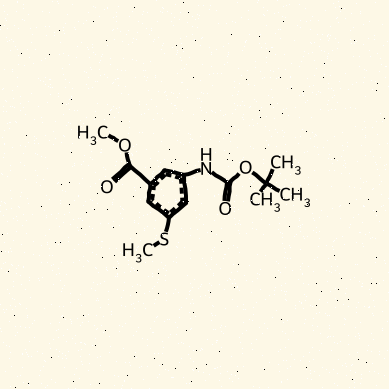 COC(=O)c1cc(NC(=O)OC(C)(C)C)cc(SC)c1